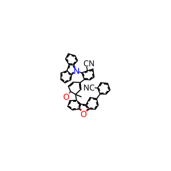 CC12C=C(c3cccc(C#N)c3-n3c4ccccc4c4ccccc43)C=CC1Oc1ccc3oc4ccc(-c5ccccc5C#N)cc4c3c12